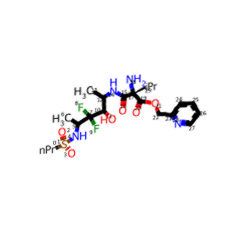 CCCS(=O)(=O)NC(C)C(F)(F)C(O)C(C)NC(=O)[C@](N)(C(=O)OCc1ccccn1)C(C)C